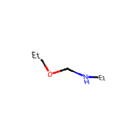 [CH2]CNCOCC